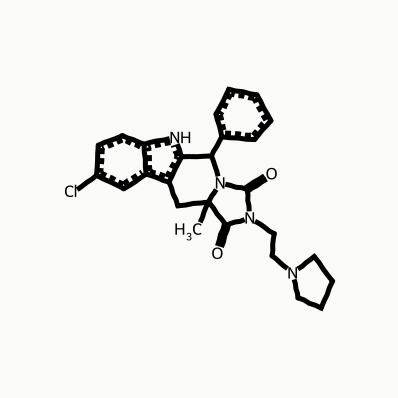 CC12Cc3c([nH]c4ccc(Cl)cc34)C(c3ccccc3)N1C(=O)N(CCN1CCCC1)C2=O